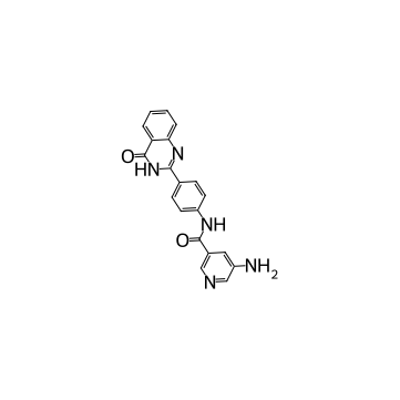 Nc1cncc(C(=O)Nc2ccc(-c3nc4ccccc4c(=O)[nH]3)cc2)c1